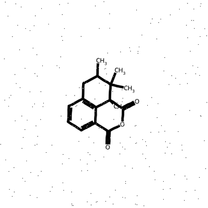 CC1Cc2cccc3c2C(C)(C(=O)OC3=O)C1(C)C